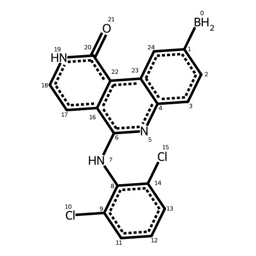 Bc1ccc2nc(Nc3c(Cl)cccc3Cl)c3cc[nH]c(=O)c3c2c1